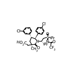 CC(C)[C@@H](CS(=O)(=NC(=O)C(F)(F)F)C(C)C)N1C(=O)[C@@](C)(CC(=O)O)C[C@H](c2cccc(Cl)c2)[C@H]1c1ccc(Cl)cc1